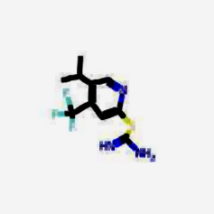 CC(C)c1cnc(SC(=N)N)cc1C(F)(F)F